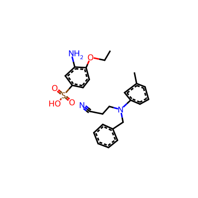 CCOc1ccc(S(=O)(=O)O)cc1N.Cc1cccc(N(CCC#N)Cc2ccccc2)c1